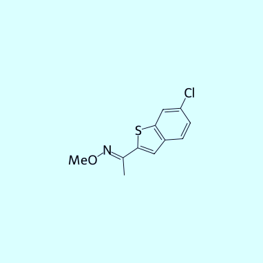 CO/N=C(\C)c1cc2ccc(Cl)cc2s1